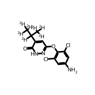 [2H]C([2H])([2H])C([2H])(c1cc(Oc2c(Cl)cc(N)cc2Cl)n[nH]c1=O)C([2H])([2H])[2H]